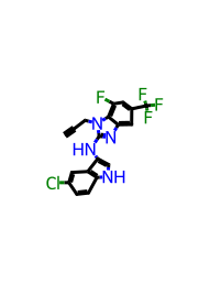 C#CCn1c(Nc2c[nH]c3ccc(Cl)cc23)nc2cc(C(F)(F)F)cc(F)c21